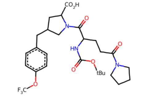 CC(C)(C)OC(=O)NC(CCC(=O)N1CCCC1)C(=O)N1CC(Cc2ccc(OC(F)(F)F)cc2)CC1C(=O)O